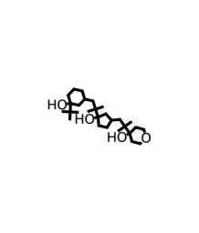 CC(C)(C)C1(O)CCCC(CC(C)(C)C2(O)CCC(CC(C)(C)C3(O)CCOCC3)C2)C1